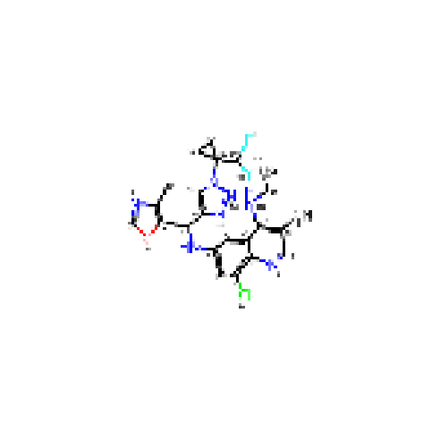 Cc1ncoc1[C@H](Nc1cc(Cl)c2ncc(C#N)c(NCC(C)(C)C)c2c1)c1cn(C2(C(F)F)CC2)nn1